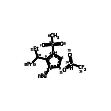 CCCCn1cc[n+](S(C)(=O)=O)c1C(CC)CCC.O=[SH](=O)C(F)(F)F